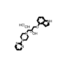 Cl.Cl.O[C@H](COc1cccc2[nH]ccc12)CN1CCN(c2ncccn2)CC1